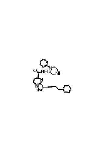 O=C(Nc1ccccc1N1CCNCC1)c1ccn2ncc(C#CCCc3ccccc3)c2n1